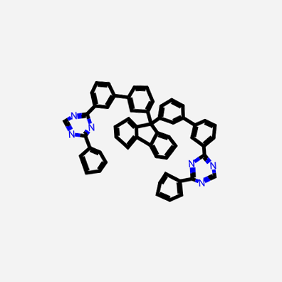 c1ccc(-c2ncnc(-c3cccc(-c4cccc(C5(c6cccc(-c7cccc(-c8ncnc(-c9ccccc9)n8)c7)c6)c6ccccc6-c6ccccc65)c4)c3)n2)cc1